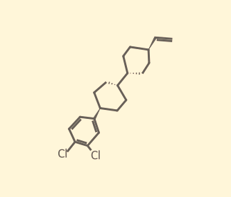 C=C[C@H]1CC[C@H]([C@H]2CC[C@H](c3ccc(Cl)c(Cl)c3)CC2)CC1